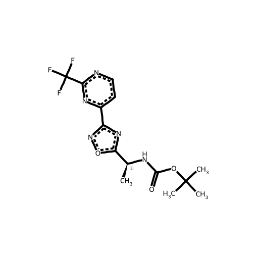 C[C@H](NC(=O)OC(C)(C)C)c1nc(-c2ccnc(C(F)(F)F)n2)no1